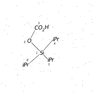 CC(C)[Si](OC(=O)O)(C(C)C)C(C)C